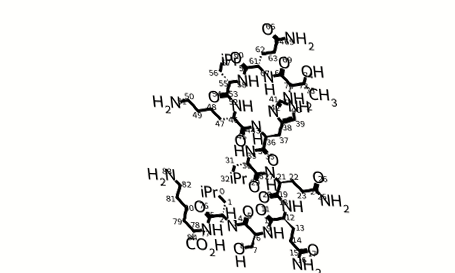 CC(C)C[C@H](NC(=O)[C@H](CO)NC(=O)[C@H](CCC(N)=O)NC(=O)[C@H](CCC(N)=O)NC(=O)[C@H](CC(C)C)NC(=O)[C@H](Cc1c[nH]cn1)NC(=O)[C@H](CCCCN)NC(=O)[C@H](CC(C)C)NC(=O)[C@H](CCC(N)=O)NC(=O)[C@@H](N)[C@@H](C)O)C(=O)N[C@@H](CCCCN)C(=O)O